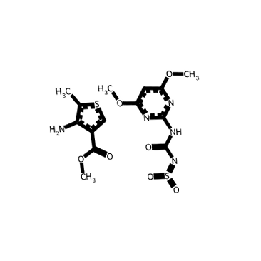 COC(=O)c1csc(C)c1N.COc1cc(OC)nc(NC(=O)N=S(=O)=O)n1